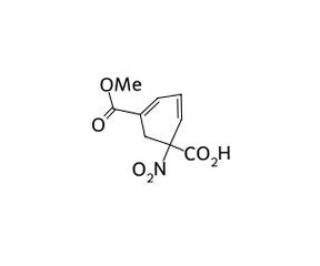 COC(=O)C1=CC=CC(C(=O)O)([N+](=O)[O-])C1